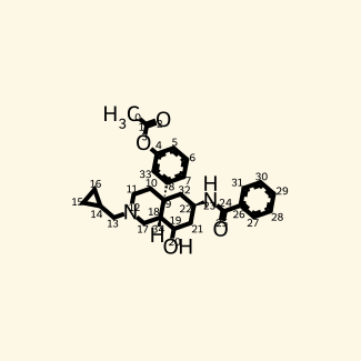 CC(=O)Oc1cccc([C@@]23CCN(CC4CC4)C[C@H]2C(O)C[C@H](NC(=O)c2ccccc2)C3)c1